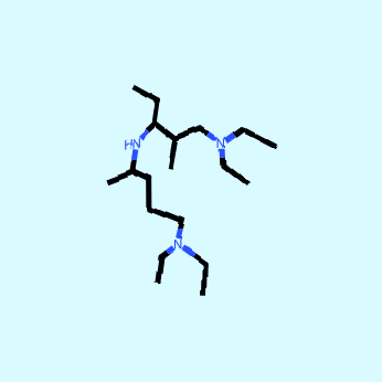 CCC(NC(C)CCCN(CC)CC)C(C)CN(CC)CC